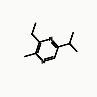 CCc1nc(C(C)C)cnc1C